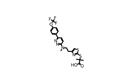 CN(CCc1csc(SC(C)(C)C(=O)O)n1)c1ccc(-c2ccc(OC(F)(F)F)cc2)nn1